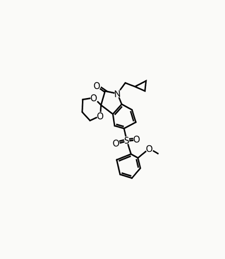 COc1ccccc1S(=O)(=O)c1ccc2c(c1)C1(OCCCO1)C(=O)N2CC1CC1